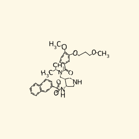 COCCCOc1cc(C(=O)N(C[C@H]2CNC[C@@H]2NS(=O)(=O)c2ccc3ccccc3c2)C(C)C)ccc1OC